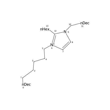 CCCCCCCCCCCCCCC[n+]1ccn(CCCCCCCCCCC)c1CCCCCC